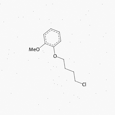 COc1ccccc1OCCCCCl